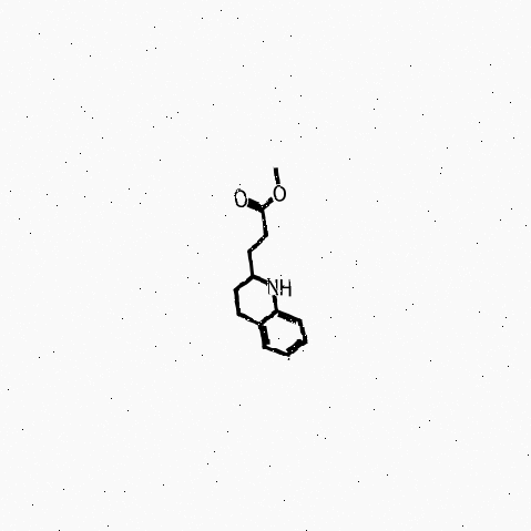 COC(=O)CCC1CCc2c[c]ccc2N1